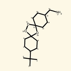 CC(C)(C)C1CCC2(CC1)OOC1(CCC(CN)CC1)O2